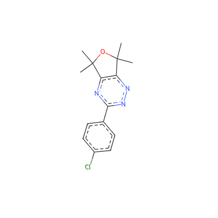 CC1(C)OC(C)(C)c2nc(-c3ccc(Cl)cc3)nnc21